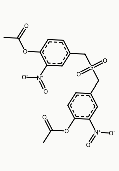 CC(=O)Oc1ccc(CS(=O)(=O)Cc2ccc(OC(C)=O)c([N+](=O)[O-])c2)cc1[N+](=O)[O-]